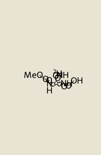 [2H]NC(=O)OCC1c2cc(NC(=O)COCCCOC)ccc2-c2ccc(NC(=O)COC(C)CCO)cc21